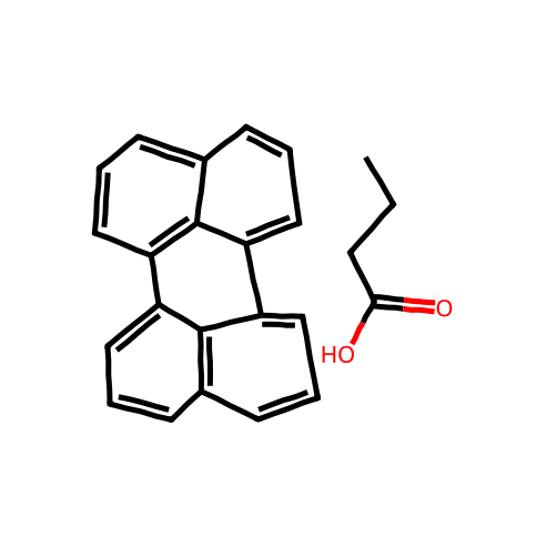 CCCC(=O)O.c1cc2cccc3c4cccc5cccc(c(c1)c23)c54